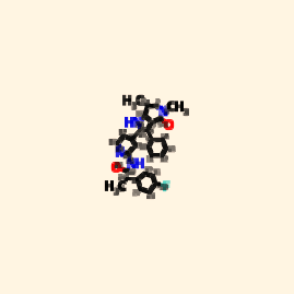 Cc1cn(C)c(=O)c2c(-c3ccccc3)c(-c3ccnc(NC(=O)C(C)c4ccc(F)cc4)c3)[nH]c12